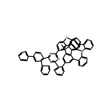 CC1(C)c2cc(-c3ccccc3-c3nc(-c4ccc5sc6ccccc6c5c4)nc(-c4ccc(-c5ccccc5)cc4-c4ccccc4)n3)cc3c2-c2c1ccc1c4ccccc4n(c21)-c1ccccc1-3